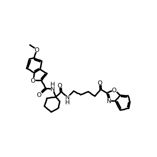 COc1ccc2oc(C(=O)NC3(C(=O)NCCCCC(=O)c4nc5ccccc5o4)CCCCC3)cc2c1